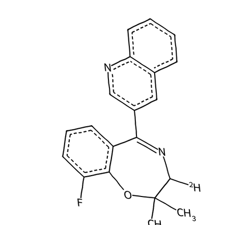 [2H]C1N=C(c2cnc3ccccc3c2)c2cccc(F)c2OC1(C)C